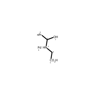 CCCC(O)NCC(=O)O.[Pd]